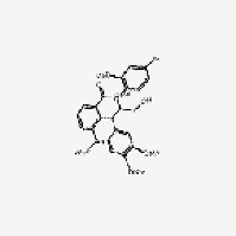 COC(=O)c1cccc(C(=O)OC)c1C(c1ccc(OC)c(OC)c1)C(CO)Oc1ccc(C(C)=O)cc1OC